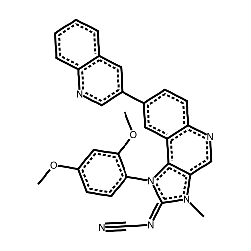 COc1ccc(-n2c(=NC#N)n(C)c3cnc4ccc(-c5cnc6ccccc6c5)cc4c32)c(OC)c1